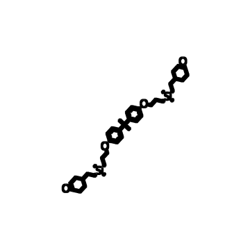 CC(C)(c1ccc(OCCC[Si](C)(C)CCC2CCC3OC3C2)cc1)c1ccc(OCCC[Si](C)(C)CCC2CCC3OC3C2)cc1